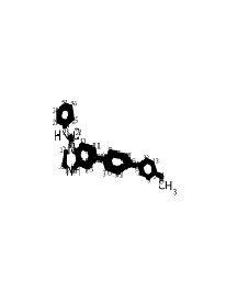 CCC1CCC(c2ccc(-c3ccc4c(c3)CNCCN4C(=O)Nc3ccccc3)cc2)CC1